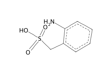 Nc1ccccc1CS(=O)(=O)O